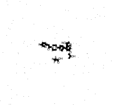 CC(O)COc1cc(-c2ccc(N3CCN(C(=O)Cc4ccc(F)cn4)CC3)nc2)c2c(C#N)cnn2c1.O=C(O)C(F)(F)F